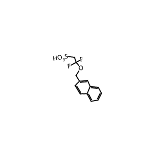 O=S(=O)(O)CC(F)(F)OCc1ccc2ccccc2c1